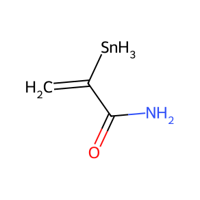 C=[C]([SnH3])C(N)=O